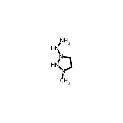 CN1CCN(NN)N1